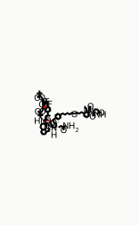 C/C(=C\C(=O)N[C@H]1CCc2cccc3c2N(C1=O)[C@H](C(=O)N[C@@H](CCC(N)=O)[C@@H](C)OCc1ccc(CCCCCOCCCc2cccc4c2n(C)c(=O)n4C2CCC(=O)NC2=O)cc1)C3)c1ccc(C(F)(F)P(=O)(OCOC(=O)C(C)(C)C)OCOC(=O)C(C)(C)C)cc1